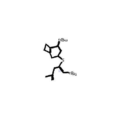 C=C(C)C/C(=C/CCCC)SC1CC2=C(CC2)C(CCCC)C1